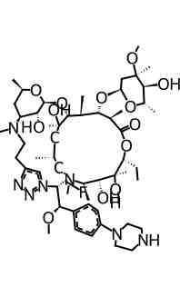 CC[C@H]1OC(=O)[C@H](C)[C@@H](O[C@H]2C[C@@](C)(OC)[C@@H](O)[C@H](C)O2)[C@H](C)[C@@H](O[C@@H]2O[C@H](C)C[C@H](N(C)CCc3cn([C@H](CF)[C@H](OC)c4ccc(N5CCNCC5)cc4)nn3)[C@H]2O)[C@](C)(O)C[C@@H](C)CN(C)[C@H](C)[C@@H](O)[C@]1(C)O